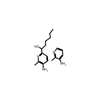 CCCCCC(O)c1ccc(N)c(C)n1.Cc1ncccc1N